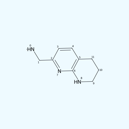 [NH]Cc1ccc2c(n1)NCCC2